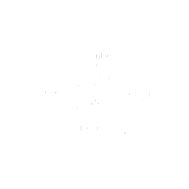 CCCCCCCCCCOC(=O)c1cccc(C(=O)O)c1.CCCCCCCCc1c(C(=O)O)cccc1C(=O)O